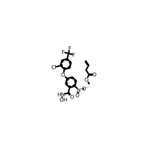 C=CCC(=O)OC.O=C(NO)c1cc(Oc2ccc(C(F)(F)F)cc2Cl)ccc1[N+](=O)[O-]